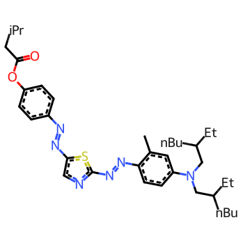 CCCCC(CC)CN(CC(CC)CCCC)c1ccc(/N=N/c2ncc(N=Nc3ccc(OC(=O)CC(C)C)cc3)s2)c(C)c1